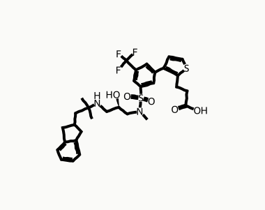 CN(C[C@H](O)CNC(C)(C)CC1Cc2ccccc2C1)S(=O)(=O)c1cc(-c2ccsc2CCC(=O)O)cc(C(F)(F)F)c1